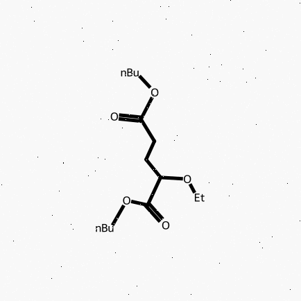 CCCCOC(=O)CCC(OCC)C(=O)OCCCC